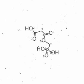 O=C(O)CC(=O)OCP(=O)(O)O